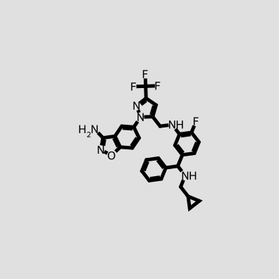 Nc1noc2ccc(-n3nc(C(F)(F)F)cc3CNc3cc(C(NCC4CC4)c4ccccc4)ccc3F)cc12